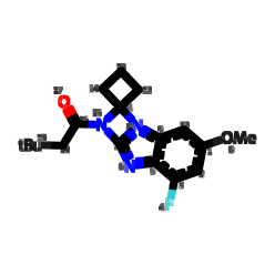 COc1cc(F)c2nc3n(c2c1)C1(CCC1)N3C(=O)CC(C)(C)C